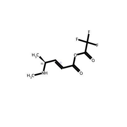 CN[C@@H](C)/C=C/C(=O)OC(=O)C(F)(F)F